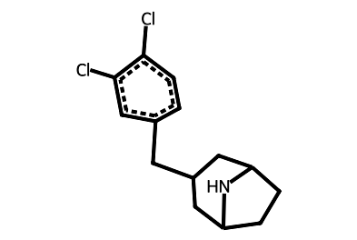 Clc1ccc(CC2CC3CCC(C2)N3)cc1Cl